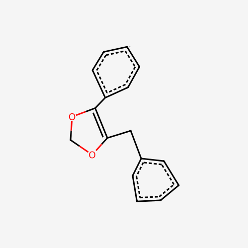 [c]1ccc(C2=C(Cc3ccccc3)OCO2)cc1